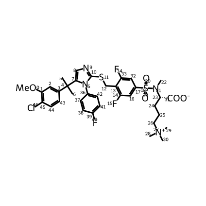 COc1cc(C(C)(C)c2cnc(SCc3c(F)cc(S(=O)(=O)N(C)[C@@H](CCC[N+](C)(C)C)C(=O)[O-])cc3F)n2-c2ccc(F)cc2)ccc1Cl